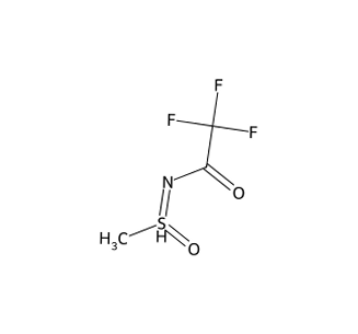 C/[SH](=O)=N/C(=O)C(F)(F)F